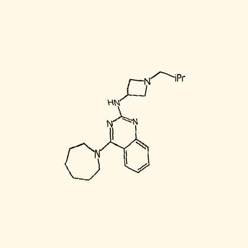 CC(C)CN1CC(Nc2nc(N3CCCCCC3)c3ccccc3n2)C1